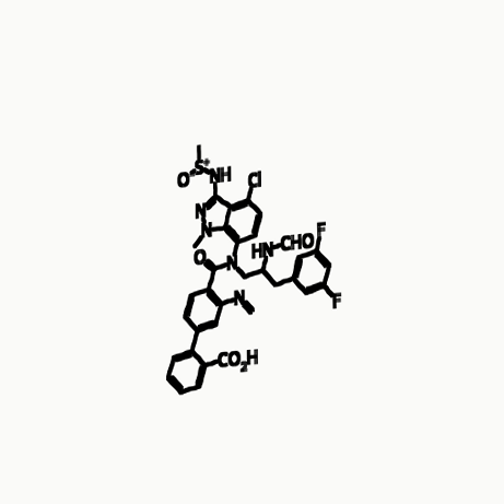 C=Nc1cc(-c2ccccc2C(=O)O)ccc1C(=O)N(CC(Cc1cc(F)cc(F)c1)NC=O)c1ccc(Cl)c2c(N[S+](C)[O-])nn(C)c12